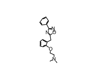 CN(C)CCOc1ccccc1Cc1nc(-c2ccccc2)no1